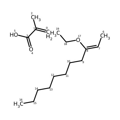 C=C(C)C(=O)O.CC=C(CCCCCCCC)OCC